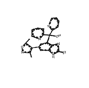 CCc1nc2c(C(O)(c3ccccn3)c3ccccn3)cc(-c3c(C)noc3C)cc2[nH]1